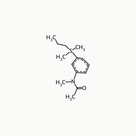 CCCS(C)(C)c1cccc(N(C)C(C)=O)c1